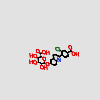 O=C(O)c1ccc(-c2ccc3cc(O[C@H]4O[C@@H](C(=O)O)[C@H](O)[C@@H](O)[C@@H]4O)ccc3n2)c(Cl)c1